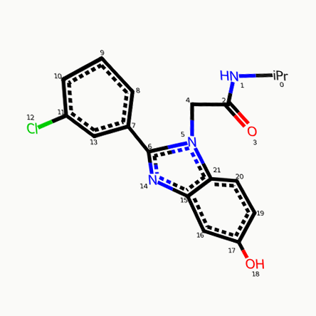 CC(C)NC(=O)Cn1c(-c2cccc(Cl)c2)nc2cc(O)ccc21